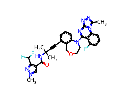 Cc1nnc2nc(N3CCOCc4c(C#CC(C)(C)NC(=O)c5cn(C)nc5C(F)F)cccc43)c3c(F)cccc3n12